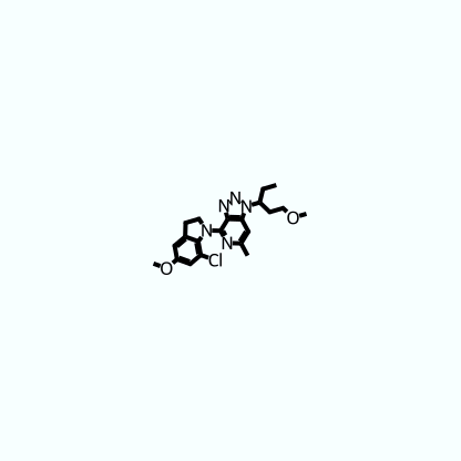 CCC(CCOC)n1nnc2c(N3CCc4cc(OC)cc(Cl)c43)nc(C)cc21